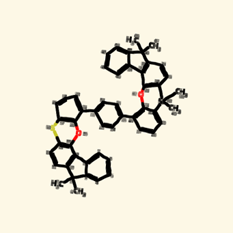 CC1(C)c2ccccc2-c2c1ccc1c2Oc2c(cccc2-c2ccc(-c3cccc4c3Oc3c(ccc5c3-c3ccccc3C5(C)C)[Si]4(C)C)cc2)S1